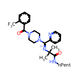 CCCCCNC(=O)C(C)(C)/N=C(\c1ccccn1)N1CCN(C(=O)c2ccccc2C(F)(F)F)CC1